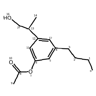 CCCCc1cc(OC(C)=O)cc([C](C)CO)c1